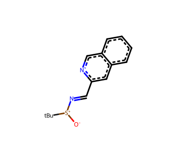 CC(C)(C)[S+]([O-])N=Cc1cc2ccccc2cn1